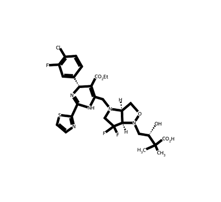 CCOC(=O)C1=C(CN2CC(F)(F)[C@H]3[C@@H]2CON3C[C@H](O)C(C)(C)C(=O)O)NC(c2nccs2)=N[C@@H]1c1ccc(Cl)c(F)c1